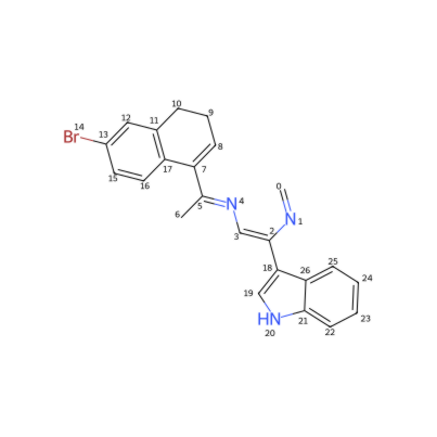 C=N/C(=C\N=C(/C)C1=CCCc2cc(Br)ccc21)c1c[nH]c2ccccc12